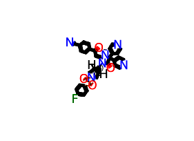 CN1C(=CC(=O)c2ccc(C#N)cc2)N([C@H]2[C@@H]3CN(S(=O)(=O)c4ccc(F)cc4)C[C@@H]32)C(=O)C1(c1ccncc1)c1ccncc1